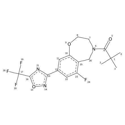 CC(C)(C)C(=O)N1CCOc2cc(-c3noc(C(F)(F)F)n3)cc(F)c2C1